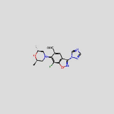 C[C@@H]1CN(c2c(C=O)cc3c(-n4cncn4)noc3c2F)C[C@@H](C)O1